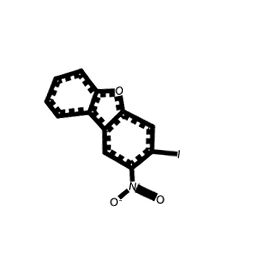 O=[N+]([O-])c1cc2c(cc1I)oc1ccccc12